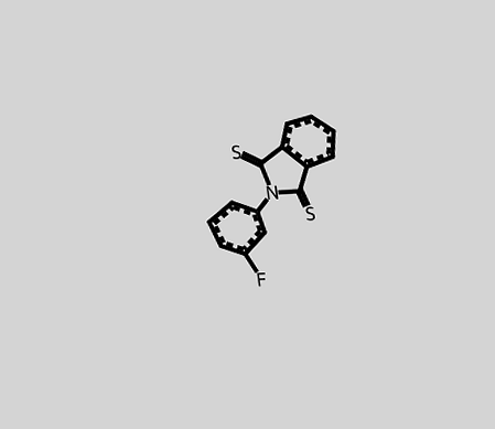 Fc1cccc(N2C(=S)c3ccccc3C2=S)c1